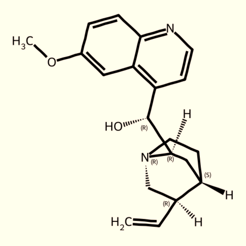 C=C[C@H]1C[N@]2CC[C@H]1C[C@@H]2[C@H](O)c1ccnc2ccc(OC)cc12